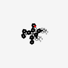 CC(C)(C)c1ccc2c(c1)c1cc(C(C)(C)C)cc3c1n2-c1c2c(cc4c1oc1ccccc14)-c1cc4c5cccc6c7ccccc7n(c4cc1N(c1ccc(-c4ccccc4)cc1)B23)c65